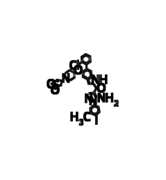 Cc1cc(-n2ncc(C(=O)c3cc4cc(OC5CCN(C6CS(=O)(=O)C6)CC5)c(-c5ccccc5Cl)cc4[nH]3)c2N)ccc1I